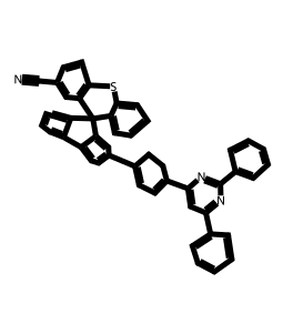 N#Cc1ccc2c(c1)C1(c3ccccc3S2)c2ccccc2-c2ccc(C3=CC=C(c4cc(-c5ccccc5)nc(-c5ccccc5)n4)CC3)cc21